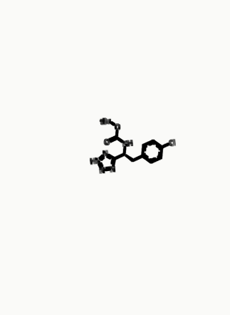 CC(C)(C)OC(=O)N[C@@H](Cc1ccc(Cl)cc1)c1nn[nH]n1